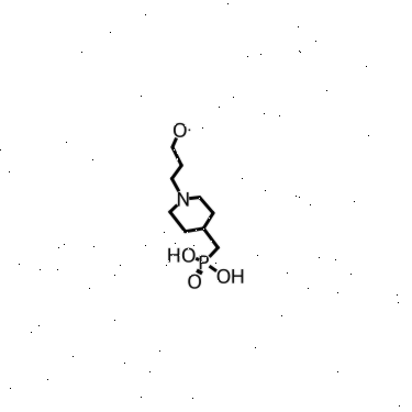 [O]CCCN1CCC(CP(=O)(O)O)CC1